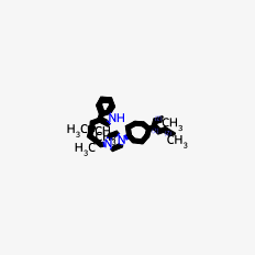 C\C=C/C=C(\C=C/C)C1CCCC(N2CCN(CC(C)(C)CC(C)(C)Cc3c[nH]c4ccccc34)CC2)CCC1